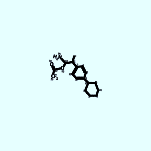 CC(c1ccc(C2CCCCC2)cc1)C(N)OC(=O)C(F)(F)F